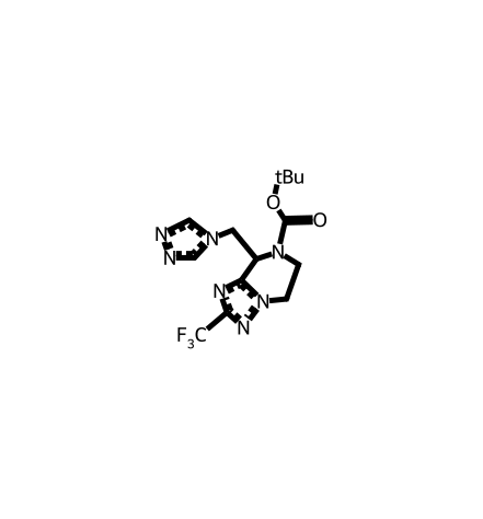 CC(C)(C)OC(=O)N1CCn2nc(C(F)(F)F)nc2C1Cn1cnnc1